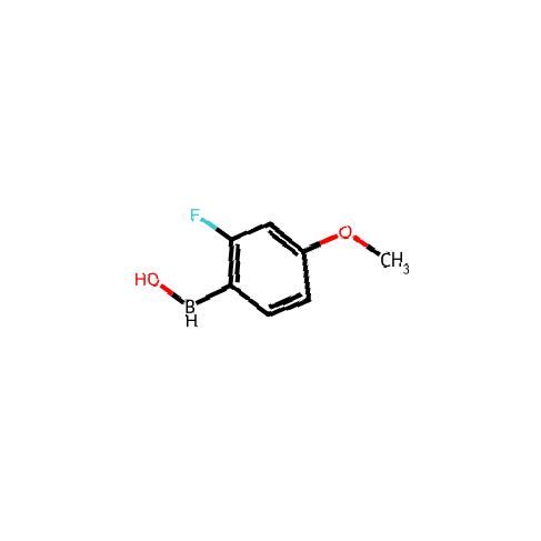 COc1ccc(BO)c(F)c1